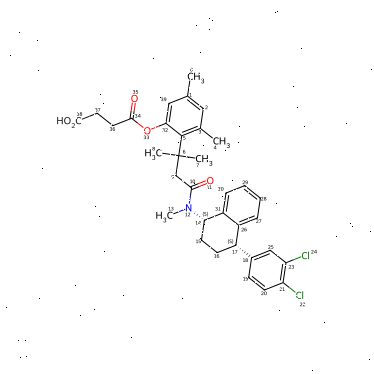 Cc1cc(C)c(C(C)(C)CC(=O)N(C)[C@H]2CC[C@@H](c3ccc(Cl)c(Cl)c3)c3ccccc32)c(OC(=O)CCC(=O)O)c1